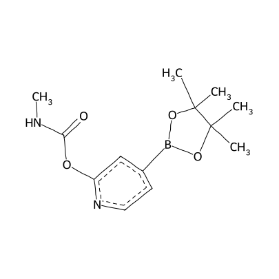 CNC(=O)Oc1cc(B2OC(C)(C)C(C)(C)O2)ccn1